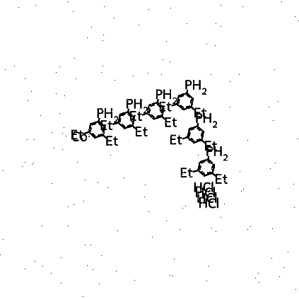 CCc1cc(P)cc(CC)c1.CCc1cc(P)cc(CC)c1.CCc1cc(P)cc(CC)c1.CCc1cc(P)cc(CC)c1.CCc1cc(P)cc(CC)c1.CCc1cc(P)cc(CC)c1.Cl.Cl.Cl.Cl.[Co]